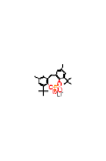 Cc1cc2c(c(C(C)(C)C)c1)OP(=O)([O-])Oc1c(cc(C)cc1C(C)(C)C)C2.[Li+]